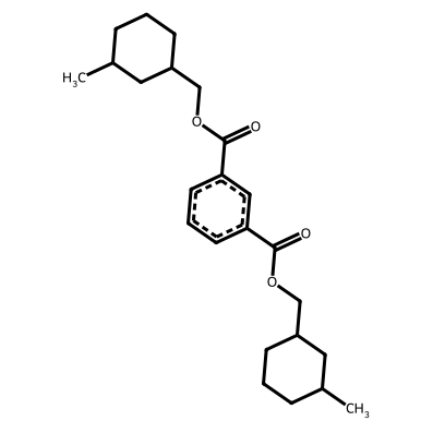 CC1CCCC(COC(=O)c2cccc(C(=O)OCC3CCCC(C)C3)c2)C1